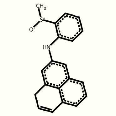 C[S+]([O-])c1ccccc1Nc1cc2c3c(cccc3c1)C=CC2